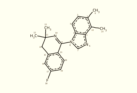 Cc1ccc2c(ncn2C2=NC(C)(C)Cc3cc(F)ccc32)c1C